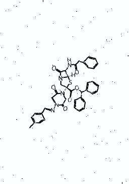 Cc1ccc(/C=N/N2CC(=O)N([C@]3(C(=O)OC(c4ccccc4)c4ccccc4)CN4C(=O)[C@@H](NC(=O)Cc5ccccc5)[C@H]4S3)CC2=O)cc1